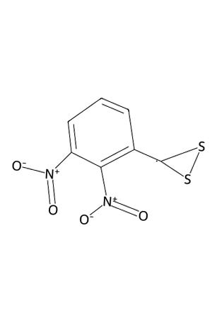 O=[N+]([O-])c1cccc([C]2SS2)c1[N+](=O)[O-]